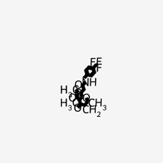 C=C1C(=O)C(C)(C(=O)OC)C(CCC(=O)NCc2ccc(C(F)(F)F)cc2)OC1C